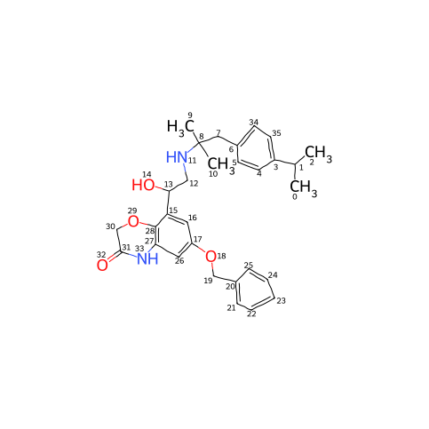 CC(C)c1ccc(CC(C)(C)NCC(O)c2cc(OCc3ccccc3)cc3c2OCC(=O)N3)cc1